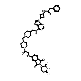 O=C1CC[C@H](N2C(=O)c3ccc(NCC(=O)N4CCC(CN5CCC(CNc6ncnc7c6ncn7C6CC(NC(=O)Cc7ccccc7)C6)CC5)CC4)cc3C2=O)C(=O)N1